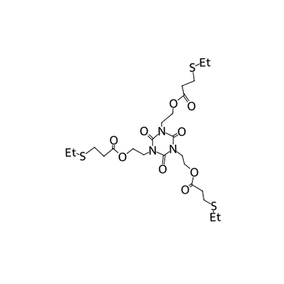 CCSCCC(=O)OCCn1c(=O)n(CCOC(=O)CCSCC)c(=O)n(CCOC(=O)CCSCC)c1=O